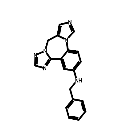 c1ccc(CNc2ccc3c(c2)-c2ncnn2Cc2cncn2-3)cc1